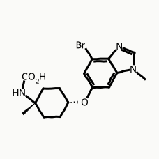 Cn1cnc2c(Br)cc(O[C@H]3CC[C@@](C)(NC(=O)O)CC3)cc21